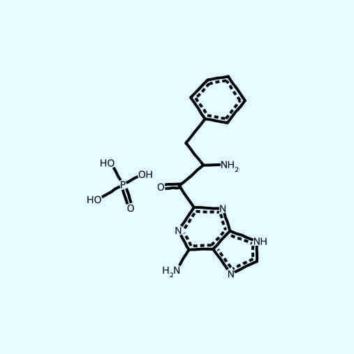 Nc1nc(C(=O)C(N)Cc2ccccc2)nc2[nH]cnc12.O=P(O)(O)O